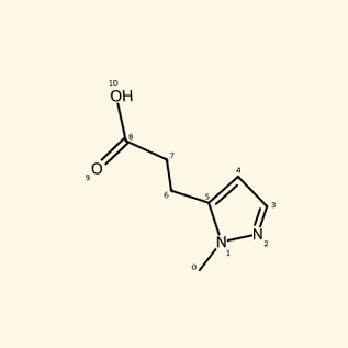 Cn1nccc1CCC(=O)O